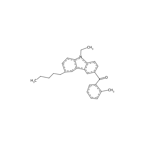 CCCCCc1ccc2c(c1)c1cc(C(=O)c3ccccc3C)ccc1n2CC